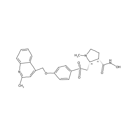 Cc1cc(COc2ccc(S(=O)(=O)C[C@H]3[C@@H](C(=O)NO)CCN3C)cc2)c2ccccc2n1